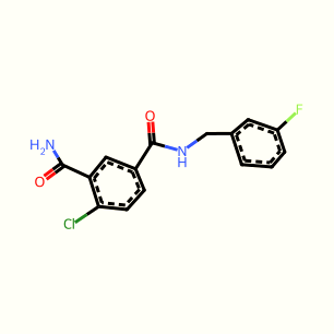 NC(=O)c1cc(C(=O)NCc2cccc(F)c2)ccc1Cl